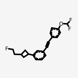 FCCC1CC(c2cccc(C#Cc3ccc(OC(F)F)cc3)c2)C1